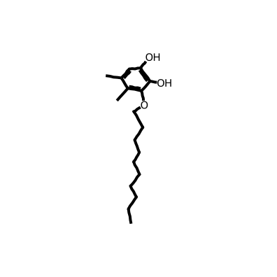 CCCCCCCCCCOc1c(C)c(C)cc(O)c1O